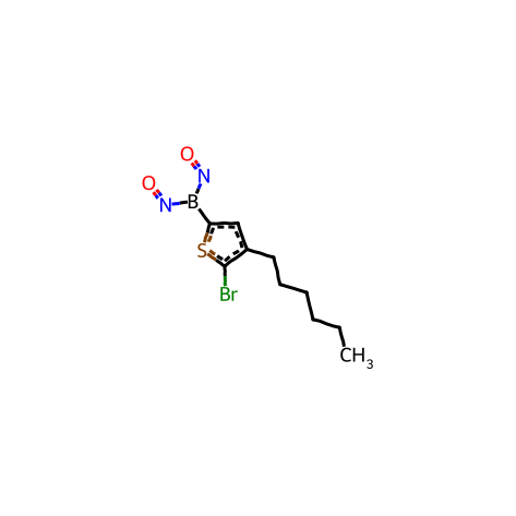 CCCCCCc1cc(B(N=O)N=O)sc1Br